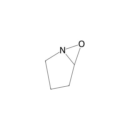 C1CC2ON2C1